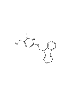 [2H]OC(=O)[C@H](C)NC(=O)OCC1c2ccccc2-c2ccccc21